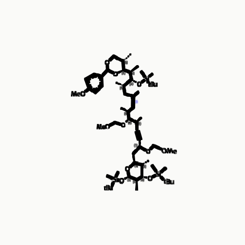 COCO[C@@H]([C@@H](C)C#C[C@H](C[C@@H]1O[C@@H](O[Si](C)(C)C(C)(C)C)[C@H](C)[C@@H](O[Si](C)(C)C(C)(C)C)[C@H]1C)OCOC)[C@@H](C)/C=C(/C)C[C@H](C)[C@@H](O[Si](C)(C)C(C)(C)C)[C@H](C)[C@H]1OC(c2ccc(OC)cc2)OC[C@@H]1C